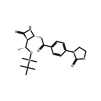 C[C@@H](O[Si](C)(C)C(C)(C)C)[C@H]1C(=O)N[C@@H]1CC(=O)c1ccc(N2CCOC2=O)cc1